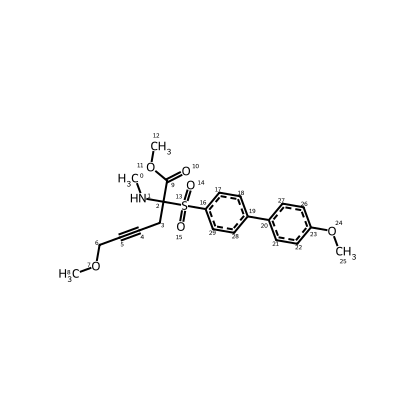 CNC(CC#CCOC)(C(=O)OC)S(=O)(=O)c1ccc(-c2ccc(OC)cc2)cc1